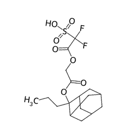 CCCC1(OC(=O)COC(=O)C(F)(F)S(=O)(=O)O)C2CC3CC(C2)CC1C3